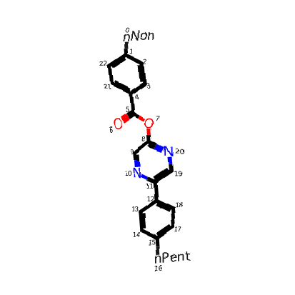 CCCCCCCCCc1ccc(C(=O)Oc2cnc(-c3ccc(CCCCC)cc3)cn2)cc1